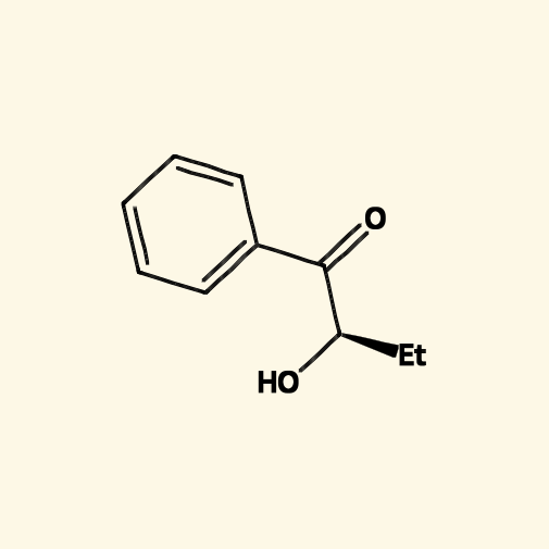 CC[C@@H](O)C(=O)c1ccccc1